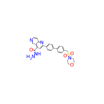 NNC(=O)c1cc(-c2ccc(-c3ccc(CS(=O)(=O)N4CCOCC4)cc3)cc2)nc2ccncc12